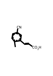 Cc1ccc(C#N)cc1/C=C/C(=O)O